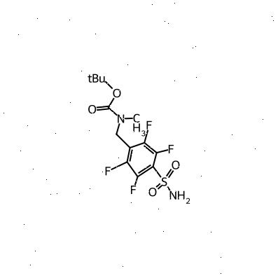 CN(Cc1c(F)c(F)c(S(N)(=O)=O)c(F)c1F)C(=O)OC(C)(C)C